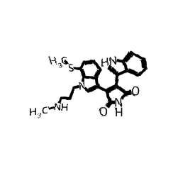 CNCCCn1cc(C2=C(c3c[nH]c4ccccc34)C(=O)NC2=O)c2cccc(SC)c21